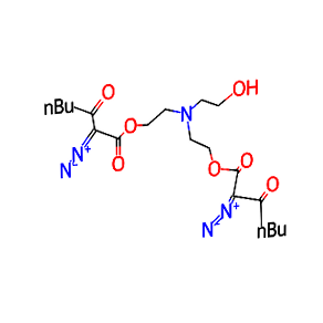 CCCCC(=O)C(=[N+]=[N-])C(=O)OCCN(CCO)CCOC(=O)C(=[N+]=[N-])C(=O)CCCC